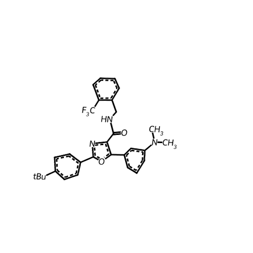 CN(C)c1cccc(-c2oc(-c3ccc(C(C)(C)C)cc3)nc2C(=O)NCc2ccccc2C(F)(F)F)c1